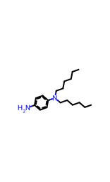 CCCCCCN(CCCCCC)c1ccc(N)cc1